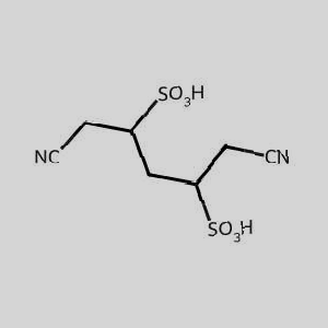 N#CCC(CC(CC#N)S(=O)(=O)O)S(=O)(=O)O